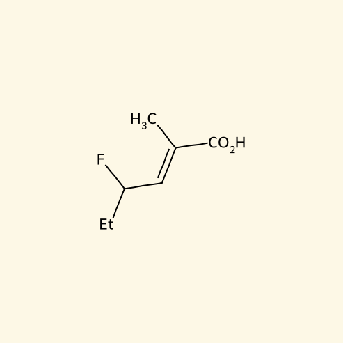 CCC(F)C=C(C)C(=O)O